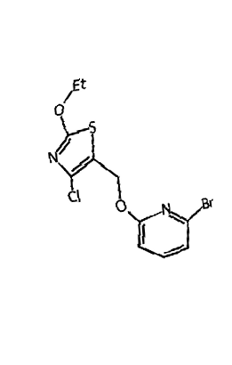 CCOc1nc(Cl)c(COc2cccc(Br)n2)s1